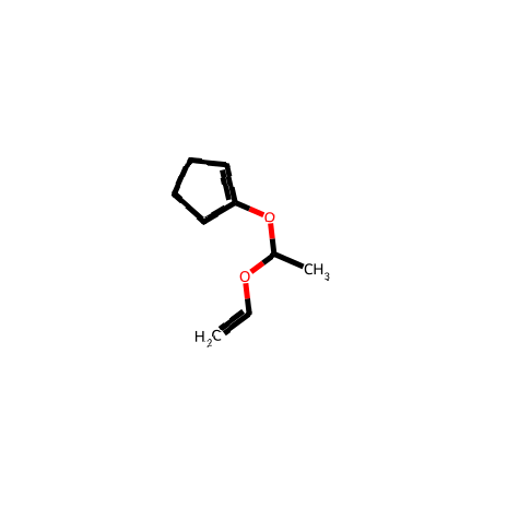 C=COC(C)OC1=CCCC1